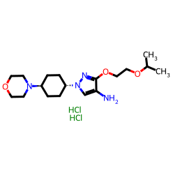 CC(C)OCCOc1nn([C@H]2CC[C@H](N3CCOCC3)CC2)cc1N.Cl.Cl